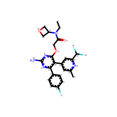 CCN(C(=O)COc1nc(N)nc(-c2ccc(F)cc2)c1-c1cc(C)nc(C(F)F)c1)C1COC1